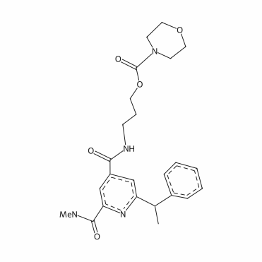 CNC(=O)c1cc(C(=O)NCCCOC(=O)N2CCOCC2)cc(C(C)c2ccccc2)n1